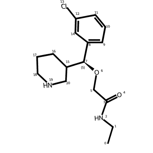 CCNC(=O)CO[C@H](c1cccc(Cl)c1)C1CCCNC1